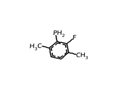 Cc1ccc(C)c(P)c1F